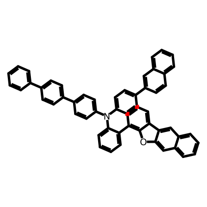 c1ccc(-c2ccc(-c3ccc(N(c4ccc(-c5ccc6ccccc6c5)cc4)c4ccccc4-c4cccc5c4oc4cc6ccccc6cc45)cc3)cc2)cc1